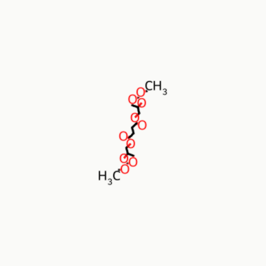 CCOC1OCC(COC(=O)CCC(=O)OCC2COC(OCC)O2)O1